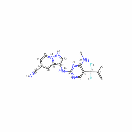 C=C(C)C(F)(F)c1cnc(Nc2cnn3ccc(C#N)cc23)nc1NC